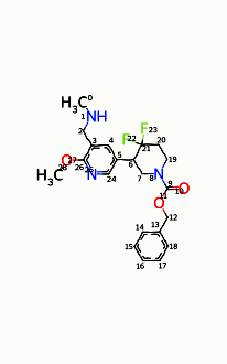 CNCc1cc(C2CN(C(=O)OCc3ccccc3)CCC2(F)F)cnc1OC